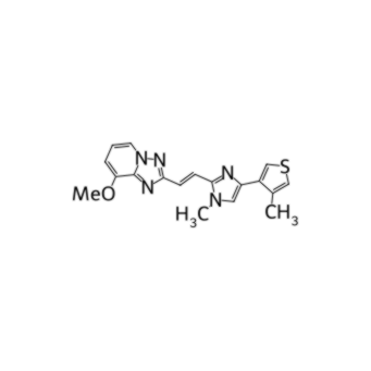 COc1cccn2nc(/C=C/c3nc(-c4cscc4C)cn3C)nc12